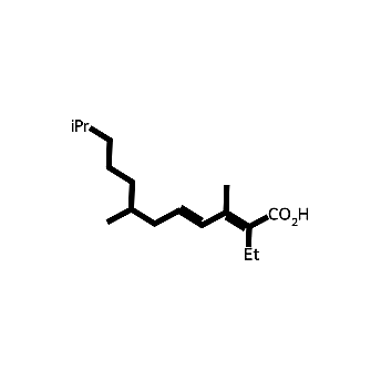 CC/C(C(=O)O)=C(C)\C=C\CC(C)CCCC(C)C